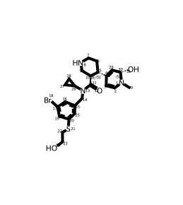 CN1C=CC([C@H]2CCNC[C@@H]2C(=O)N(Cc2cc(Br)cc(SCCO)c2)C2CC2)=C[C@@H]1O